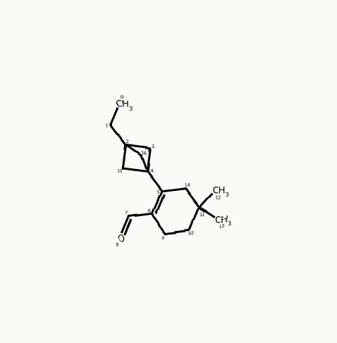 CCC12CC(C3=C(C=O)CCC(C)(C)C3)(C1)C2